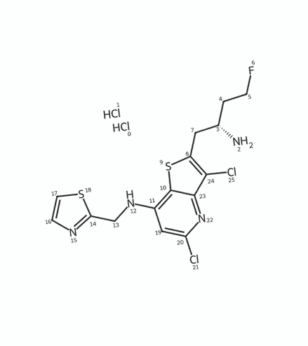 Cl.Cl.N[C@@H](CCF)Cc1sc2c(NCc3nccs3)cc(Cl)nc2c1Cl